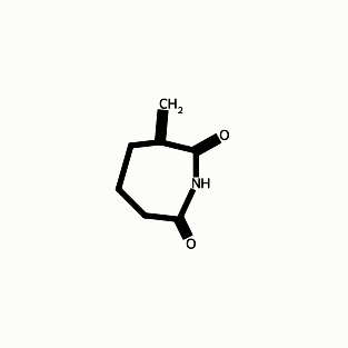 C=C1CCCC(=O)NC1=O